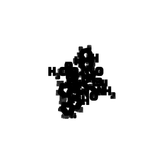 CC(C)(C)NC(=O)[C@@H]1C[C@@H]2CCCC[C@@H]2CN1C[C@@H](OS(C)(=O)=O)[C@H](Cc1ccccc1)NC(=O)[C@H](CC(N)=O)NC(=O)c1ccc2ccccc2n1